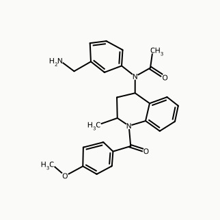 COc1ccc(C(=O)N2c3ccccc3C(N(C(C)=O)c3cccc(CN)c3)CC2C)cc1